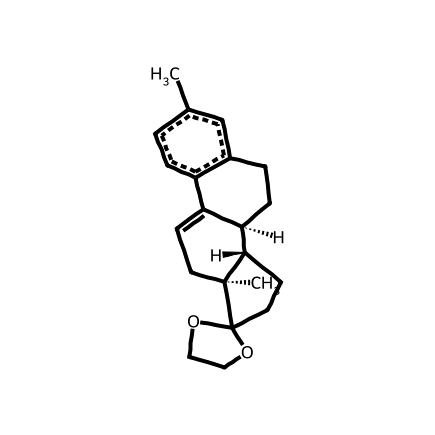 Cc1ccc2c(c1)CC[C@@H]1C2=CC[C@@]2(C)[C@H]1CCC21OCCO1